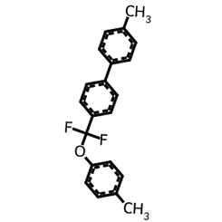 Cc1ccc(OC(F)(F)c2ccc(-c3ccc(C)cc3)cc2)cc1